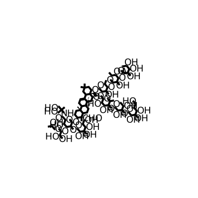 CC(=O)OC1C(C)OC(OC2C(C)OC(OC(=O)[C@]34CCC(C)(C)CC3C3=CCC5[C@@]6(C)CC[C@H](OC7OC(C(=O)NC(C)(CO)CO)C(O)C(OC(OCC(C)O)C(O)O)C7OC7OC(CO)C(O)C(O)C7O)[C@@](C)(C=O)C6CC[C@@]5(C)[C@]3(C)CC4)C(OC3OC(C)C(OC4OCC(O)C(OC5OC(CO)C(O)C(O)C5O)C4O)C(O)C3O)C2O)C(O)C1OC1OCC(O)C(O)C1O